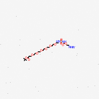 CC(C)(C)OC(=O)CCOCCOCCOCCOCCOCCOCCNS(=O)(=O)NC(=O)OCCN=[N+]=[N-]